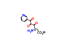 N[C@@H](CC(=O)O)C(=O)C(=O)C(=O)c1cccnc1